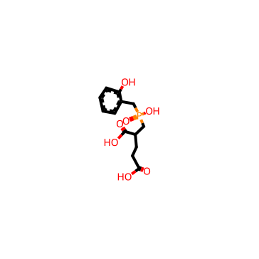 O=C(O)CCC(CP(=O)(O)Cc1ccccc1O)C(=O)O